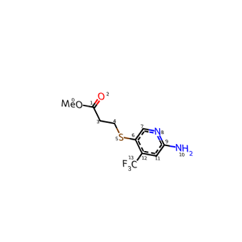 COC(=O)CCSc1cnc(N)cc1C(F)(F)F